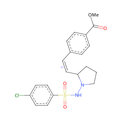 COC(=O)c1ccc(/C=C\C2CCCN2NS(=O)(=O)c2ccc(Cl)cc2)cc1